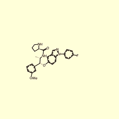 COc1cccc([C@@H](Oc2ccc3c(cnn3-c3ccc(F)cc3)c2)[C@H](C)NC(=O)[C@H]2CCCN2)c1